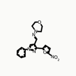 O=[N+]([O-])c1ccc(-c2nn(-c3ccccc3)cc2/C=N/N2CCOCC2)o1